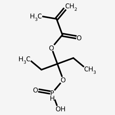 C=C(C)C(=O)OC(CC)(CC)O[PH](=O)O